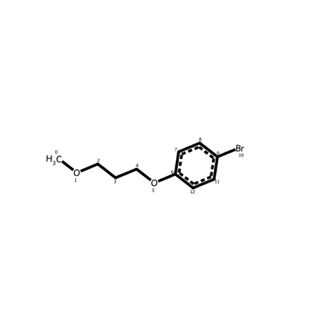 COCCCOc1ccc(Br)cc1